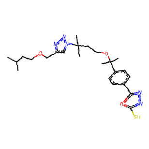 CC(C)CCOCc1cn(C(C)(C)CCOC(C)(C)c2ccc(-c3nnc(S)o3)cc2)nn1